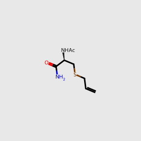 C=CCSC[C@H](NC(C)=O)C(N)=O